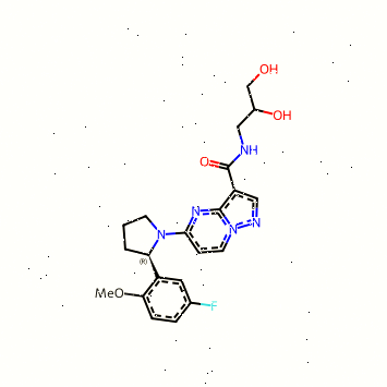 COc1ccc(F)cc1[C@H]1CCCN1c1ccn2ncc(C(=O)NCC(O)CO)c2n1